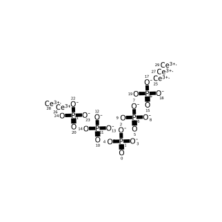 O=P([O-])([O-])[O-].O=P([O-])([O-])[O-].O=P([O-])([O-])[O-].O=P([O-])([O-])[O-].O=P([O-])([O-])[O-].[Ce+3].[Ce+3].[Ce+3].[Ce+3].[Ce+3]